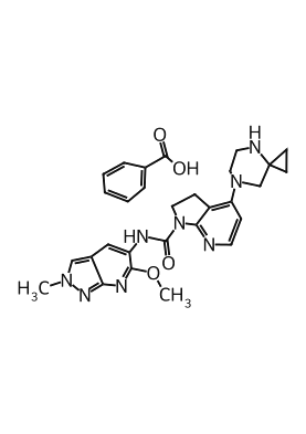 COc1nc2nn(C)cc2cc1NC(=O)N1CCc2c(N3CCNC4(CC4)C3)ccnc21.O=C(O)c1ccccc1